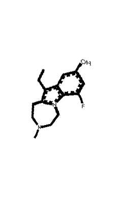 CCc1c2n(c3c(F)cc(O)cc13)CCN(C)CC2